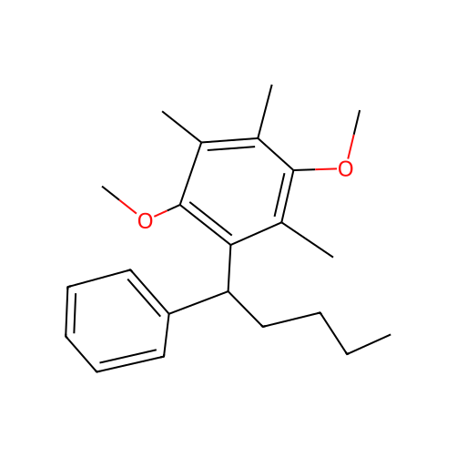 CCCCC(c1ccccc1)c1c(C)c(OC)c(C)c(C)c1OC